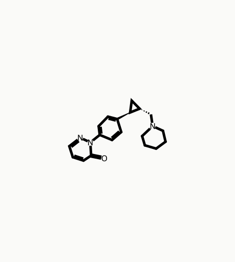 O=c1cccnn1-c1ccc([C@H]2C[C@@H]2CN2CCCCC2)cc1